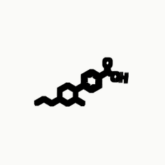 CCCC1CCC(c2ccc(C(=O)O)cc2)C(C)C1